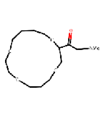 CNCC(=O)C1CCCCCCCCCCCCCC1